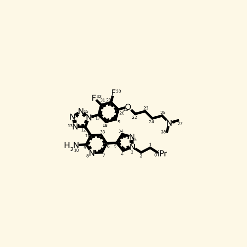 CC(C)CCn1cc(-c2cnc(N)c(-c3nnnn3-c3ccc(OCCCCN(C)C)c(F)c3F)c2)cn1